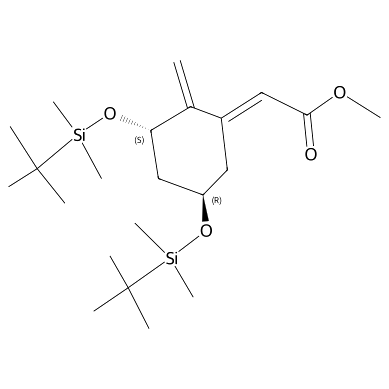 C=C1C(=CC(=O)OC)C[C@@H](O[Si](C)(C)C(C)(C)C)C[C@@H]1O[Si](C)(C)C(C)(C)C